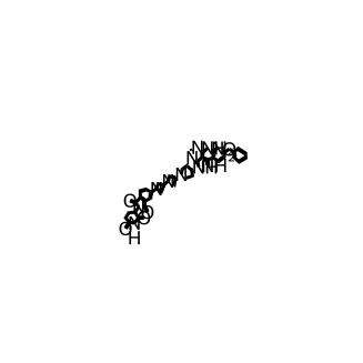 N=C(c1ccc(Oc2ccccc2)nc1)c1c(N)ncnc1NC1CCN(C2CN(C3CN(c4ccc5c(c4)C(=O)N(C4CCC(=O)NC4=O)C5=O)C3)C2)CC1